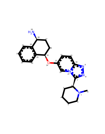 CN1CCCC[C@H]1c1nnc2ccc(O[C@@H]3CC[C@H](N)c4ccccc43)cn12